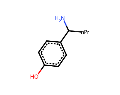 C[CH]CC(N)c1ccc(O)cc1